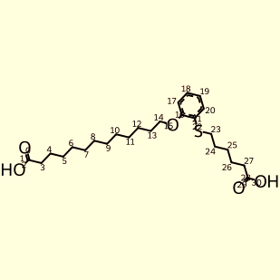 O=C(O)CCCCCCCCCCCCOc1ccccc1SCCCCCC(=O)O